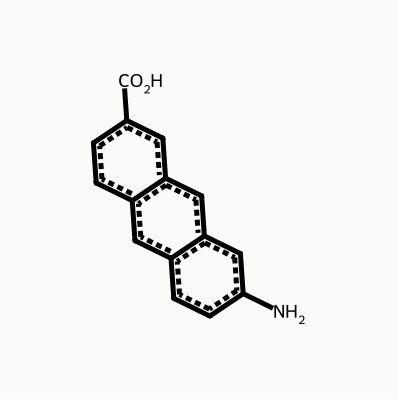 Nc1ccc2cc3ccc(C(=O)O)cc3cc2c1